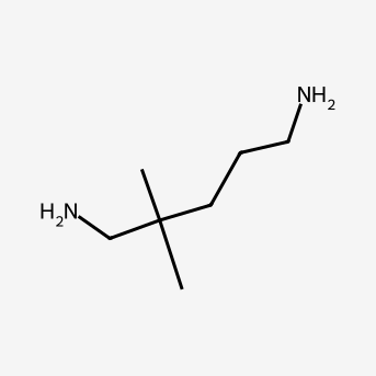 CC(C)(CN)CCCN